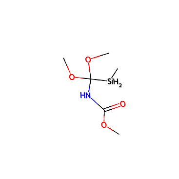 COC(=O)NC(OC)(OC)[SiH2]C